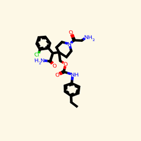 CCc1ccc(NC(=O)OCC2(C(C(N)=O)c3ccccc3Cl)CCN(C(=O)CN)CC2)cc1